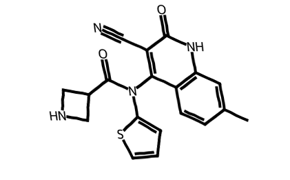 Cc1ccc2c(N(C(=O)C3CNC3)c3cccs3)c(C#N)c(=O)[nH]c2c1